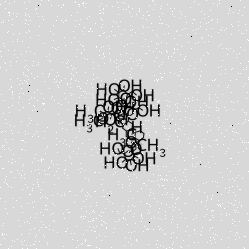 C=C1CC2CCC3[C@](C)(C(=O)OC4OC(CO)C(O)C(O)C4O)CCC[C@@]3(C)[C@@H]2CC1C1OC(CO)C(O)C(OC2OC(CO)C(O)C(O)C2O)C1OC(O)C(O)C(O)C(C)OC